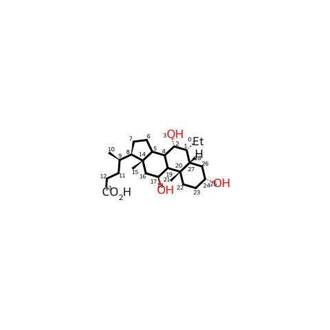 CC[C@H]1[C@@H](O)C2C3CC[C@H]([C@H](C)CCC(=O)O)[C@@]3(C)C[C@H](O)C2[C@@]2(C)CC[C@@H](O)C[C@@H]12